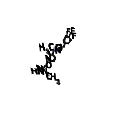 CCn1[nH]nc1COc1ccc(/C(C)=N/OCc2ccc(C(F)(F)F)cc2)cn1